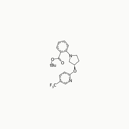 CC(C)(C)OC(=O)c1ccccc1N1CC[C@@H](Oc2ccc(C(F)(F)F)cn2)C1